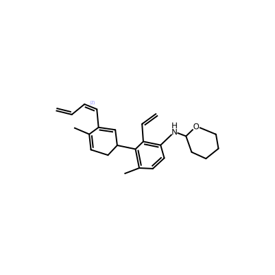 C=C/C=C\C1=CC(c2c(C)ccc(NC3CCCCO3)c2C=C)CC=C1C